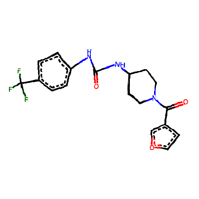 O=C(Nc1ccc(C(F)(F)F)cc1)NC1CCN(C(=O)c2ccoc2)CC1